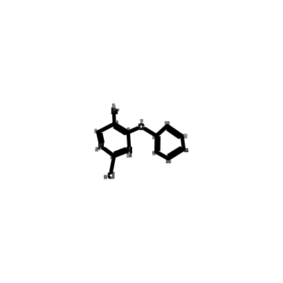 Clc1ncc(Br)c(Oc2ccccc2)n1